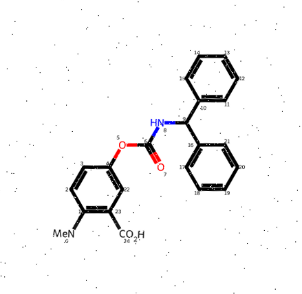 CNc1ccc(OC(=O)NC(c2ccccc2)c2ccccc2)cc1C(=O)O